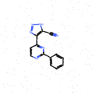 N#Cc1[nH]nnc1-c1ccnc(-c2ccccc2)n1